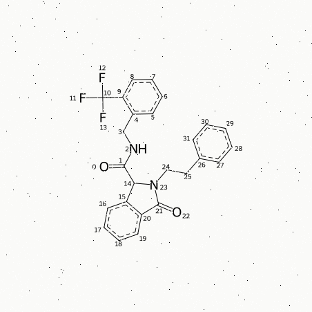 O=C(NCc1ccccc1C(F)(F)F)C1c2ccccc2C(=O)N1CCc1ccccc1